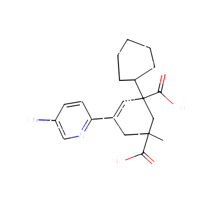 CC1(C(=O)O)CC(c2ccc(N)cn2)=CC(C(=O)O)(C2CCCCC2)C1